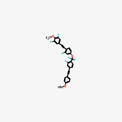 CCCCOc1ccc(C#Cc2ccc(C(F)(F)Oc3ccc(C#Cc4cc(F)c(OC(F)(F)F)c(F)c4)c(F)c3)c(F)c2)cc1